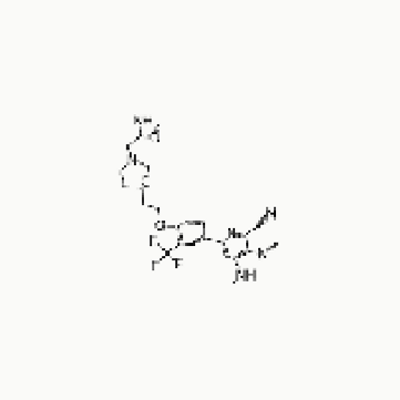 C=Nc1c(NC)cc(-c2ccc(OCCC3CCN(CC(N)=O)CC3)c(C(F)(F)F)c2)nc1C#N